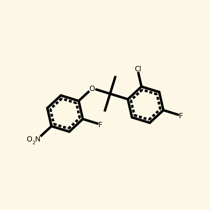 CC(C)(Oc1ccc([N+](=O)[O-])cc1F)c1ccc(F)cc1Cl